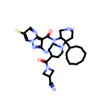 N#CC1CN(C(=O)C2CCN(C3(C4CCCCCCCC4)CCNCC3NC(=O)c3c(N)nn4cc(F)cnc34)CC2)C1